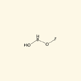 OBOF